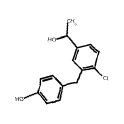 CC(O)c1ccc(Cl)c(Cc2ccc(O)cc2)c1